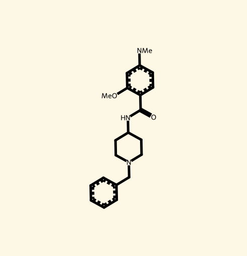 CNc1ccc(C(=O)NC2CCN(Cc3ccccc3)CC2)c(OC)c1